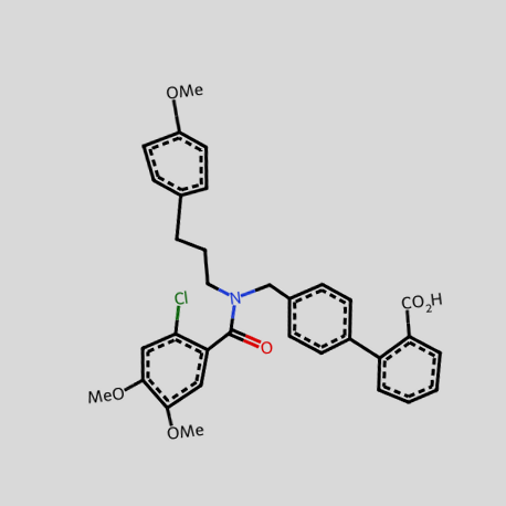 COc1ccc(CCCN(Cc2ccc(-c3ccccc3C(=O)O)cc2)C(=O)c2cc(OC)c(OC)cc2Cl)cc1